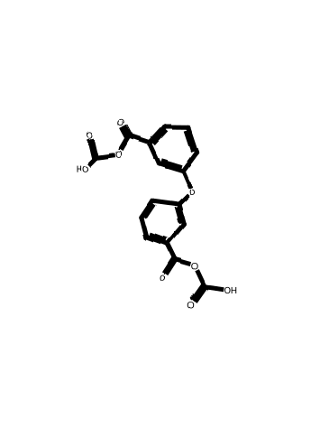 O=C(O)OC(=O)c1cccc(Oc2cccc(C(=O)OC(=O)O)c2)c1